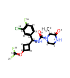 C[C@@H]1C(=O)NCCN1C(=O)NC(c1ccc(F)c(Cl)c1)C1CC(OC(F)F)C1